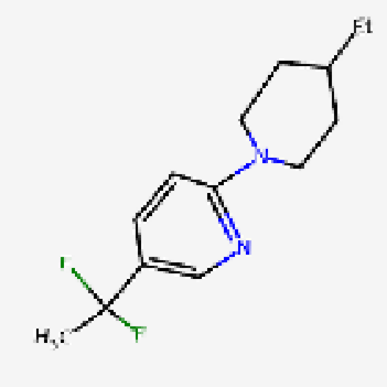 CCC1CCN(c2ccc(C(C)(F)F)cn2)CC1